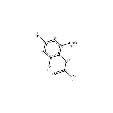 [CH2]CCC(=O)Oc1c(Br)cc(Br)cc1C=O